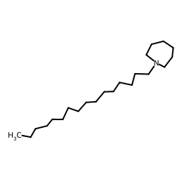 CCCCCCCCCCCCCCCCN1CCCCCC1